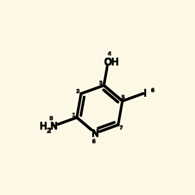 Nc1cc(O)c(I)cn1